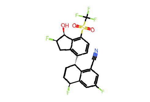 N#Cc1cc(F)cc2c1[C@@H](c1ccc(S(=O)(=O)C(F)(F)F)c3c1C[C@@H](F)[C@H]3O)CC[C@@H]2F